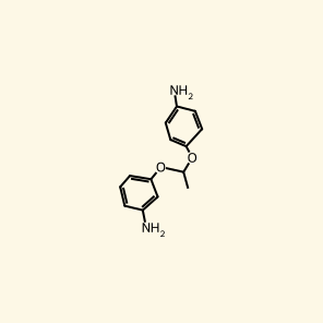 CC(Oc1ccc(N)cc1)Oc1cccc(N)c1